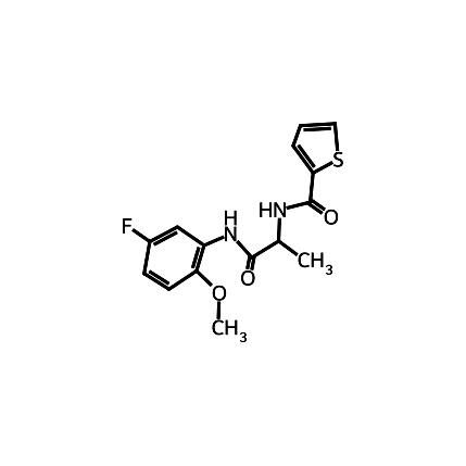 COc1ccc(F)cc1NC(=O)C(C)NC(=O)c1cccs1